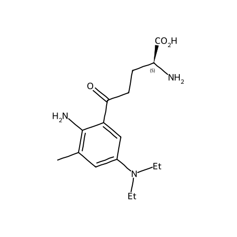 CCN(CC)c1cc(C)c(N)c(C(=O)CC[C@H](N)C(=O)O)c1